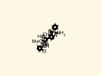 COc1ncc(-c2ccc3nc(N)n(-c4ccccc4)c(=O)c3c2)cc1S(=O)(=O)Nc1ccccc1Cl.O=CO